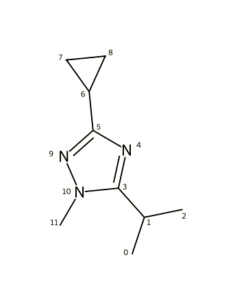 CC(C)c1nc(C2CC2)nn1C